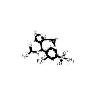 CS(=O)(=O)c1ccc(C(OC(=O)C(F)(F)F)c2cnoc2C2CC2)c(C(F)(F)F)c1